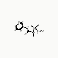 CO[Si](C)(C)C(C)C(=O)Oc1ccccc1